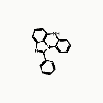 c1ccc(-c2nc3cccc4c3n2-c2ccccc2N4)cc1